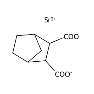 O=C([O-])C1C2CCC(C2)C1C(=O)[O-].[Sr+2]